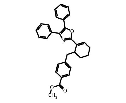 COC(=O)c1ccc(CC2CCCC=C2c2nc(-c3ccccc3)c(-c3ccccc3)o2)cc1